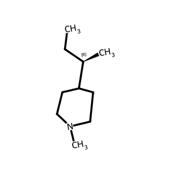 CC[C@@H](C)C1CCN(C)CC1